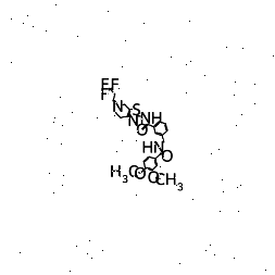 COc1ccc(C(=O)NCc2cccc(C(=O)Nc3nc4c(s3)CN(CCC(F)(F)F)CC4)c2)cc1OC